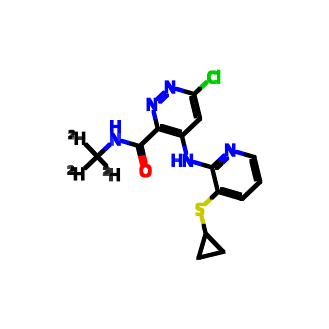 [2H]C([2H])([2H])NC(=O)c1nnc(Cl)cc1Nc1ncccc1SC1CC1